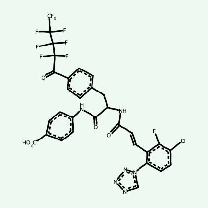 O=C(/C=C/c1c(-n2cnnn2)ccc(Cl)c1F)NC(Cc1ccc(C(=O)C(F)(F)C(F)(F)C(F)(F)C(F)(F)F)cc1)C(=O)Nc1ccc(C(=O)O)cc1